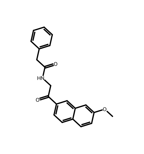 COc1ccc2ccc(C(=O)CNC(=O)Cc3ccccc3)cc2c1